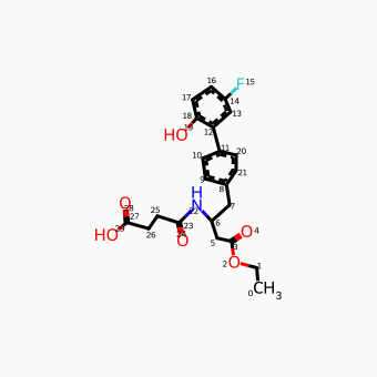 CCOC(=O)CC(Cc1ccc(-c2cc(F)ccc2O)cc1)NC(=O)CCC(=O)O